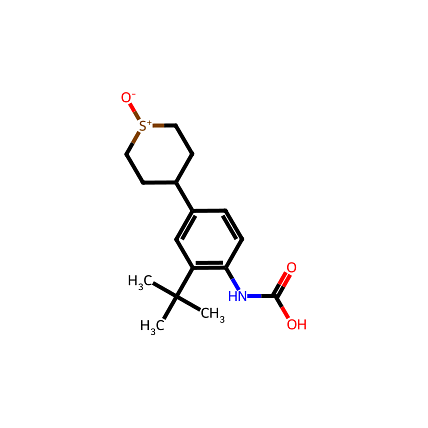 CC(C)(C)c1cc(C2CC[S+]([O-])CC2)ccc1NC(=O)O